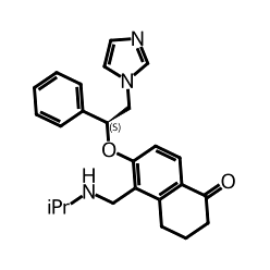 CC(C)NCc1c(O[C@H](Cn2ccnc2)c2ccccc2)ccc2c1CCCC2=O